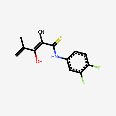 C=C(C)C(O)=C(C#N)C(=S)Nc1ccc(F)c(F)c1